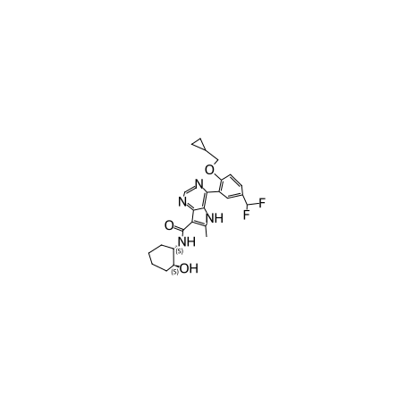 Cc1[nH]c2c(-c3cc(C(F)F)ccc3OCC3CC3)ncnc2c1C(=O)N[C@H]1CCCC[C@@H]1O